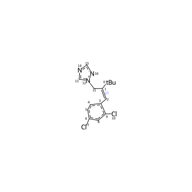 CC(C)(C)/C(=C/c1ccc(Cl)cc1Cl)Cn1cncn1